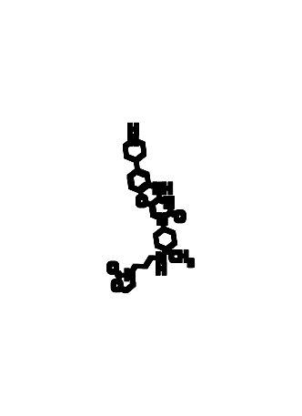 CC1(NCCCN2CCOC2=O)CCC(n2cc3c(nc2=O)Nc2cc(C4CCNCC4)ccc2O3)CC1